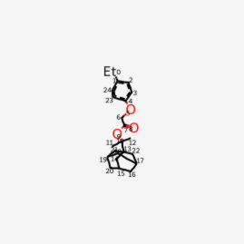 CCc1ccc(OCC(=O)OC(C)(C)C23CC4CC(CC(C4)C2)C3)cc1